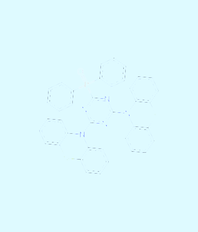 O=P(c1ccccc1)(c1ccccc1)c1nc(N2c3ccccc3Sc3ccccc32)nc(N2c3ccccc3Sc3ccccc32)n1